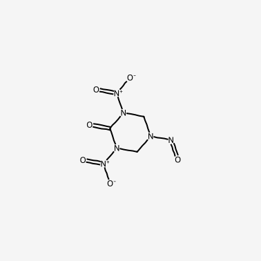 O=NN1CN([N+](=O)[O-])C(=O)N([N+](=O)[O-])C1